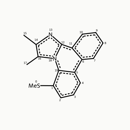 CSc1cccc2c3ccccc3c3nc(C)c(C)n3c12